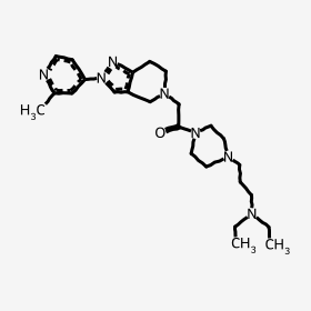 CCN(CC)CCCN1CCN(C(=O)CN2CCc3nn(-c4ccnc(C)c4)cc3C2)CC1